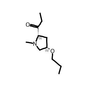 CCCO[C@H]1C[C@@H](C(=O)CC)N(C)C1